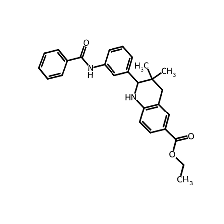 CCOC(=O)c1ccc2c(c1)CC(C)(C)C(c1cccc(NC(=O)c3ccccc3)c1)N2